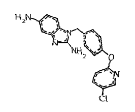 Nc1ccc2c(c1)nc(N)n2Cc1ccc(Oc2ccc(Cl)cn2)cc1